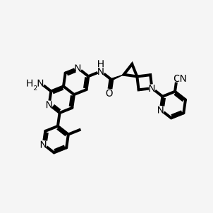 Cc1ccncc1-c1cc2cc(NC(=O)[C@H]3CC34CN(c3ncccc3C#N)C4)ncc2c(N)n1